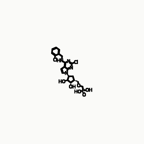 O=P(O)(O)COC[C@H]1C[C@@H](n2ccc3c(NCc4ccccc4Cl)nc(Cl)nc32)[C@H](O)[C@H]1O